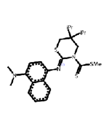 CSC(=S)N1CC(C(C)C)(C(C)C)CS/C1=N\c1ccc(N(C)C)c2ccccc12